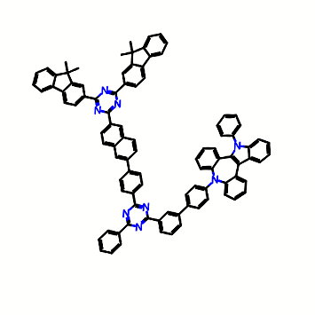 CC1(C)c2ccccc2-c2ccc(-c3nc(-c4ccc5c(c4)C(C)(C)c4ccccc4-5)nc(-c4ccc5cc(-c6ccc(-c7nc(-c8ccccc8)nc(-c8cccc(-c9ccc(N%10c%11ccccc%11-c%11c(n(-c%12ccccc%12)c%12ccccc%11%12)-c%11ccccc%11%10)cc9)c8)n7)cc6)ccc5c4)n3)cc21